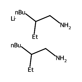 CCCCC(CC)CN.CCCCC(CC)CN.[Li]